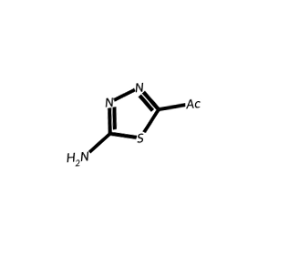 CC(=O)c1nnc(N)s1